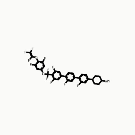 CCCC1CCC(c2ccc(-c3ccc(-c4cc(F)c(C(F)(F)Oc5cc(F)c(OC(F)=C(F)F)c(F)c5)c(F)c4)c(F)c3)c(F)c2)CC1